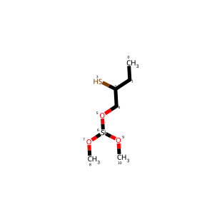 CCC(S)CO[Si](OC)OC